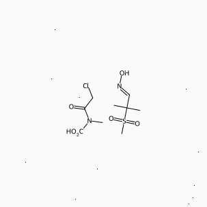 CC(C)(C=NO)S(C)(=O)=O.CN(C(=O)O)C(=O)CCl